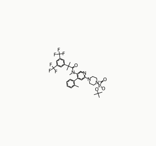 Cc1ccccc1-c1cc(N2CC[N+]3(CC2)C(=O)P3(=O)OC(C)(C)C)ncc1N(C)C(=O)C(C)(C)c1cc(C(F)(F)F)cc(C(F)(F)F)c1